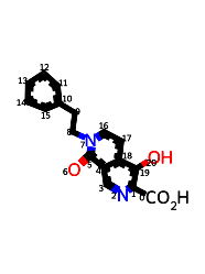 O=C(O)c1ncc2c(=O)n(CCc3ccccc3)ccc2c1O